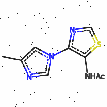 CC(=O)Nc1scnc1-n1cnc(C)c1